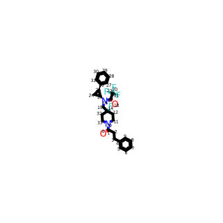 O=C(CCc1ccccc1)N1CCC(F)(CN(C(=O)C(F)(F)F)[C@@H]2C[C@H]2c2ccccc2)CC1